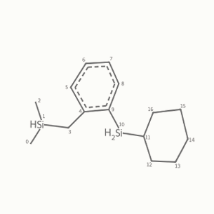 C[SiH](C)Cc1ccccc1[SiH2]C1CCCCC1